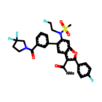 CNC(=O)c1c(-c2ccc(F)cc2)oc2cc(N(CCF)S(C)(=O)=O)c(-c3cccc(C(=O)N4CCC(F)(F)C4)c3)cc12